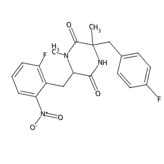 CN1C(=O)C(C)(Cc2ccc(F)cc2)NC(=O)C1Cc1c(F)cccc1[N+](=O)[O-]